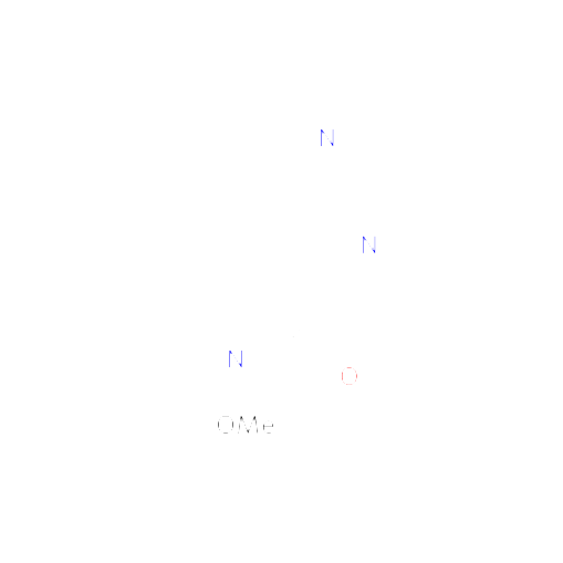 CON(C)C(=O)c1ccncn1